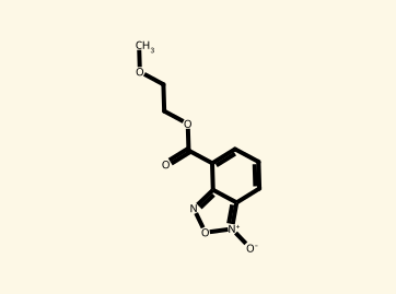 COCCOC(=O)c1cccc2c1no[n+]2[O-]